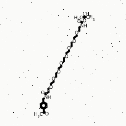 CC(=O)c1ccc(CNC(=O)CCOCCOCCOCCOCCOCCOCCOCCOCCNC(=O)OC(C)(C)C)cc1